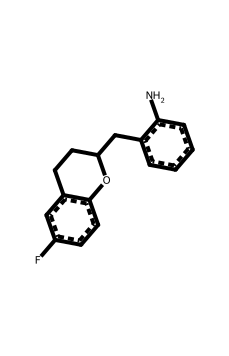 Nc1ccccc1CC1CCc2cc(F)ccc2O1